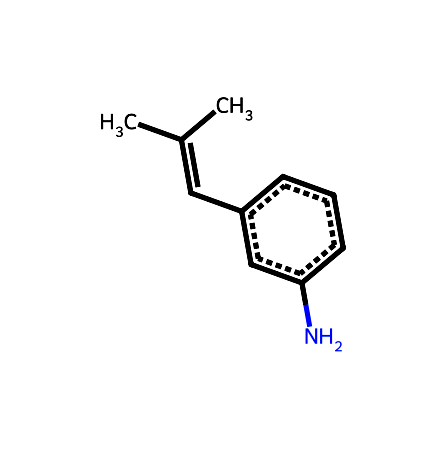 CC(C)=Cc1cccc(N)c1